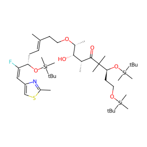 C/C(=C\C[C@H](O[Si](C)(C)C(C)(C)C)/C(F)=C\c1csc(C)n1)CCO[C@H](C)[C@@H](O)[C@@H](C)C(=O)C(C)(C)[C@H](CCO[Si](C)(C)C(C)(C)C)O[Si](C)(C)C(C)(C)C